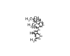 C=C(CN(C)C=C(C)C)NC(Cc1c[nH]c2c1=CCC=C(C)C=2)c1ccccc1